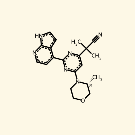 C[C@@H]1COCCN1c1cc(C(C)(C)C#N)nc(-c2ccnc3[nH]ccc23)n1